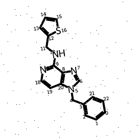 c1ccc(Cn2cnc3c(NCc4cccs4)nccc32)cc1